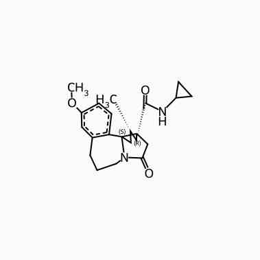 COc1ccc2c(c1)CCCN1C(=O)CC3[C@H](C(=O)NC4CC4)[C@@H](C)CC231